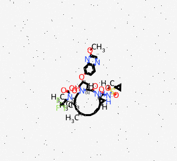 COc1cnc2ccc(O[C@@H]3C[C@H]4C(=O)N[C@]5(C(=O)NS(=O)(=O)C6(C)CC6)C[C@H]5C=CCC[C@@H](C)C[C@@H](C)[C@H](N(C(=O)O)C(C)(C)C(F)(F)F)C(=O)N4C3)cc2n1